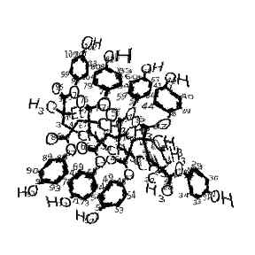 CCC(C)(CC(C)(CC(C)(CC(C)(CC(C)(CC(C)(CC(C)(CC(C)(C)C(=O)Oc1ccc(O)cc1)C(=O)Oc1ccc(O)cc1)C(=O)Oc1ccc(O)cc1)C(=O)Oc1ccc(O)cc1)C(=O)Oc1ccc(O)cc1)C(=O)Oc1ccc(O)cc1)C(=O)Oc1ccc(O)cc1)C(=O)Oc1ccc(O)cc1